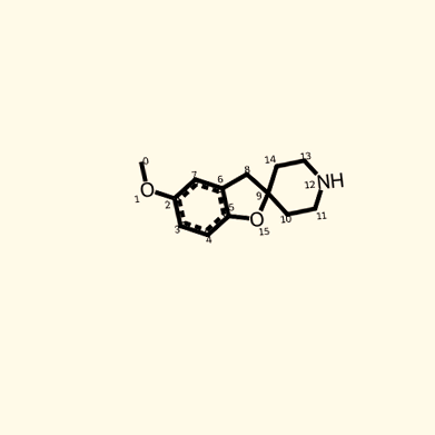 COc1ccc2c(c1)CC1(CCNCC1)O2